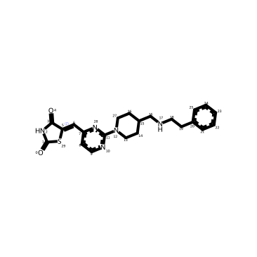 O=C1NC(=O)/C(=C/c2ccnc(N3CCC(CNCCc4ccccc4)CC3)n2)S1